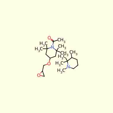 CC(=O)N1C(C)(C)CC(OCC2CO2)CC1(C)C.CC1CCCN(C)C1(C)C